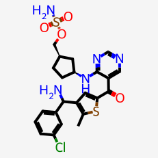 Cc1sc(C(=O)c2cncnc2N[C@H]2CC[C@@H](COS(N)(=O)=O)C2)cc1C(N)c1cccc(Cl)c1